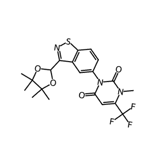 Cn1c(C(F)(F)F)cc(=O)n(-c2ccc3snc(C4OC(C)(C)C(C)(C)O4)c3c2)c1=O